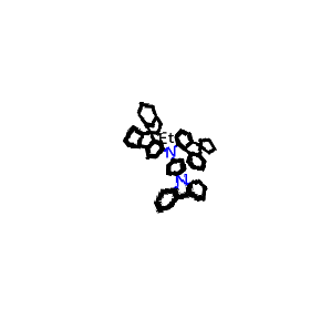 CCC1CC2CCCC(C2)C12c1ccccc1-c1ccc(N(c3ccc(-n4c5ccccc5c5ccccc54)cc3)c3cccc4c3-c3ccccc3C43CCCC3)cc12